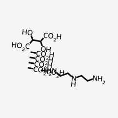 CC(=O)O.CC(=O)O.CC(=O)O.CC(=O)O.CC(=O)O.NCCNCCN.O=C(O)C(O)C(O)C(=O)O